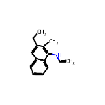 C=CNc1c(C)c(CC)cc2ccccc12